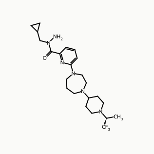 C[C@H](N1CCC(N2CCCN(c3cccc(C(=O)N(N)CC4CC4)n3)CC2)CC1)C(F)(F)F